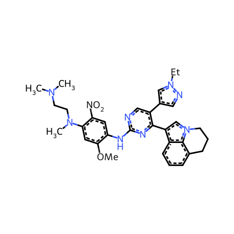 CCn1cc(-c2cnc(Nc3cc([N+](=O)[O-])c(N(C)CCN(C)C)cc3OC)nc2-c2cn3c4c(cccc24)CCC3)cn1